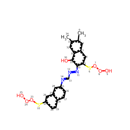 Cc1cc2cc(SOOO)c(N=NC=Nc3ccc4ccc(SOOO)cc4c3)c(O)c2cc1C